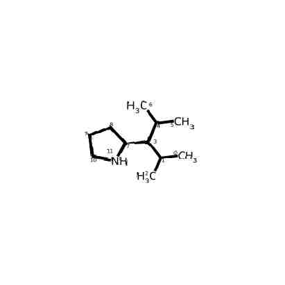 CC(C)C(C(C)C)[C@@H]1CCCN1